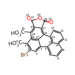 O=C(O)c1c(Br)cc2c3cccc4cccc(c43)c3c4c(=O)oc(=O)c4c(C(=O)O)c1c23